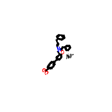 O=C([O-])c1ccc(-c2cccc(CN(CCCc3ccccc3)C(=O)Cc3ccccc3)c2)cc1.[Na+]